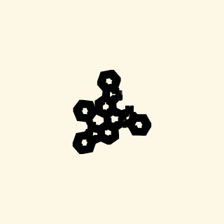 c1ccc(-n2c3ccccc3c3ccc4c(c5ccc6c7ccccc7sc6c5c5nc6ccccc6n45)c32)cc1